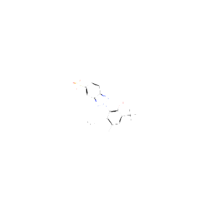 CCC(C)(C)c1cc(C)cc(-n2nc3ccc(S(=O)(=O)[O-])cc3n2)c1O.[Na+]